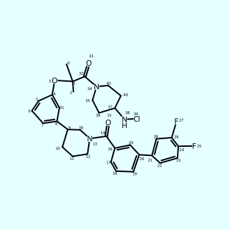 CC(C)(Oc1cccc(C2CCCN(C(=O)c3cccc(-c4ccc(F)c(F)c4)c3)C2)c1)C(=O)N1CCC(NCl)CC1